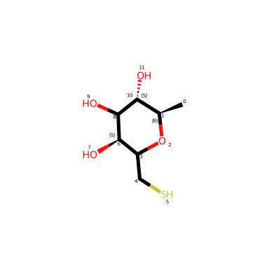 C[C@H]1OC(CS)[C@@H](O)C(O)[C@@H]1O